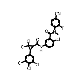 CN(C(=O)c1cc(NC(=O)C2C(c3cc(Cl)c(Cl)c(Cl)c3)C2(Cl)Cl)ccc1Cl)c1ccc(C#N)cc1F